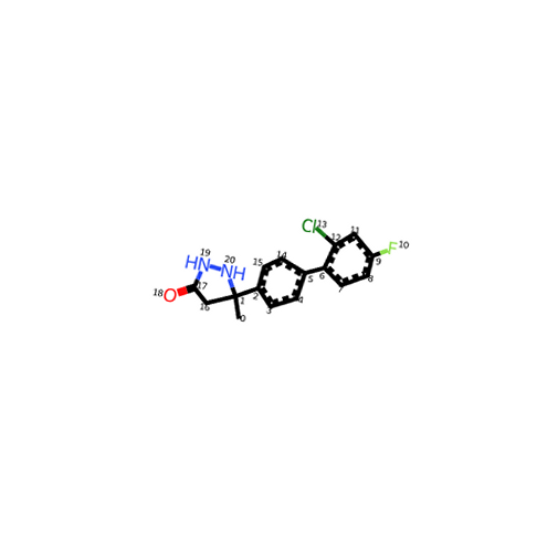 CC1(c2ccc(-c3ccc(F)cc3Cl)cc2)CC(=O)NN1